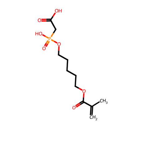 C=C(C)C(=O)OCCCCCOP(=O)(O)CC(=O)O